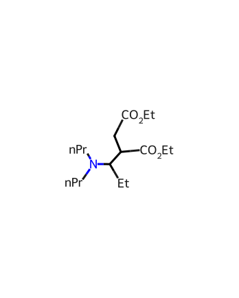 CCCN(CCC)C(CC)C(CC(=O)OCC)C(=O)OCC